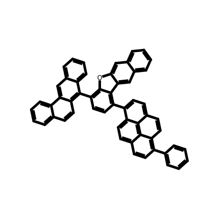 c1ccc(-c2ccc3ccc4c(-c5ccc(-c6c7ccccc7cc7c6ccc6ccccc67)c6oc7cc8ccccc8cc7c56)ccc5ccc2c3c54)cc1